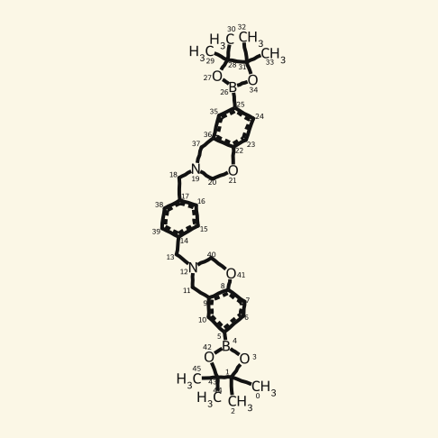 CC1(C)OB(c2ccc3c(c2)CN(Cc2ccc(CN4COc5ccc(B6OC(C)(C)C(C)(C)O6)cc5C4)cc2)CO3)OC1(C)C